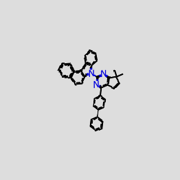 CC1(C)C=Cc2c(-c3ccc(-c4ccccc4)cc3)nc(-n3c4ccccc4c4c5ccccc5ccc43)nc21